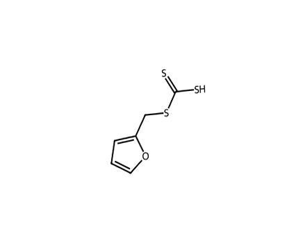 S=C(S)SCc1ccco1